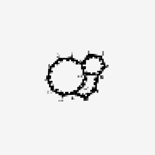 c1cccc2cccc3ccc(cc1)cc23